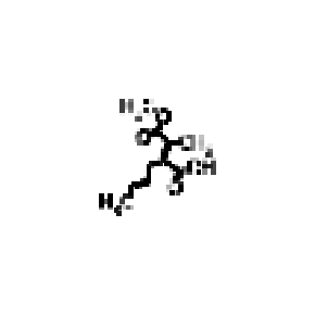 CC=CCC(C(=O)O)=C(C)C(=O)OC